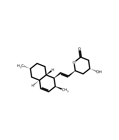 C[C@@H]1CC[C@@H]2[C@@H](/C=C/[C@@H]3C[C@@H](O)CC(=O)O3)[C@@H](C)C=C[C@H]2C1